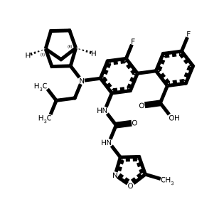 Cc1cc(NC(=O)Nc2cc(-c3cc(F)ccc3C(=O)O)c(F)cc2N(CC(C)C)C2C[C@H]3CC[C@@H]2C3)no1